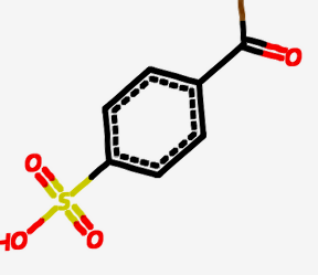 O=C(Br)c1ccc(S(=O)(=O)O)cc1